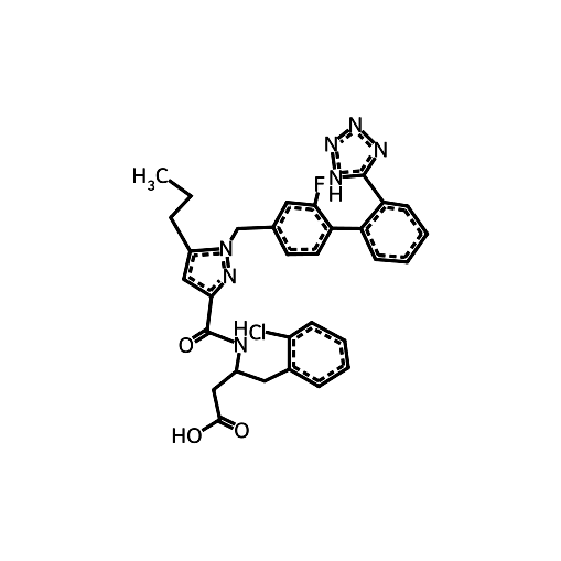 CCCc1cc(C(=O)NC(CC(=O)O)Cc2ccccc2Cl)nn1Cc1ccc(-c2ccccc2-c2nnn[nH]2)c(F)c1